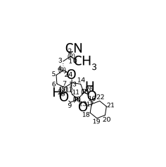 C[C@@H](C#N)C[C@H]1CC[C@@H]2OC[C@]34CCC2(C[C@H]3OC2(CCCCC2)O4)O1